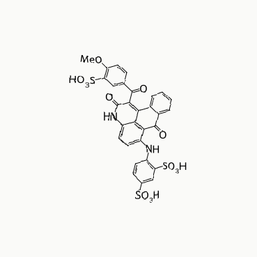 COc1ccc(C(=O)c2c3c4c(c(Nc5ccc(S(=O)(=O)O)cc5S(=O)(=O)O)ccc4[nH]c2=O)C(=O)c2ccccc2-3)cc1S(=O)(=O)O